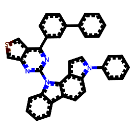 c1ccc(-c2cccc(-c3nc(-n4c5ccccc5c5ccc6c(ccn6-c6ccccc6)c54)nc4cscc34)c2)cc1